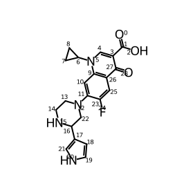 O=C(O)c1cn(C2CC2)c2cc(N3CCNC(c4cc[nH]c4)C3)c(F)cc2c1=O